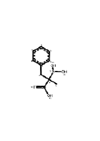 CC(Cc1ccccc1)(C(=O)O)N(O)O